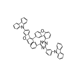 c1ccc(-c2nc(-c3cccc(-n4c5ccccc5c5ccccc54)c3)nc(-c3cccc4oc5ccc(-c6cccc7oc8cc(-n9c%10ccccc%10c%10ccccc%109)ccc8c67)cc5c34)n2)cc1